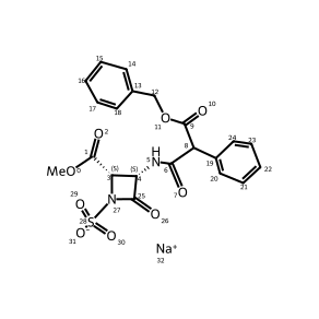 COC(=O)[C@@H]1[C@H](NC(=O)C(C(=O)OCc2ccccc2)c2ccccc2)C(=O)N1S(=O)(=O)[O-].[Na+]